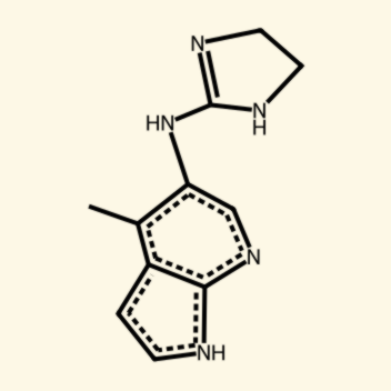 Cc1c(NC2=NCCN2)cnc2[nH]ccc12